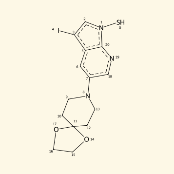 Sn1cc(I)c2cc(N3CCC4(CC3)OCCO4)cnc21